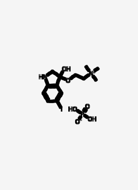 C[N+](C)(C)CCOC1(O)CNc2ccc(I)cc21.O=P([O-])(O)O